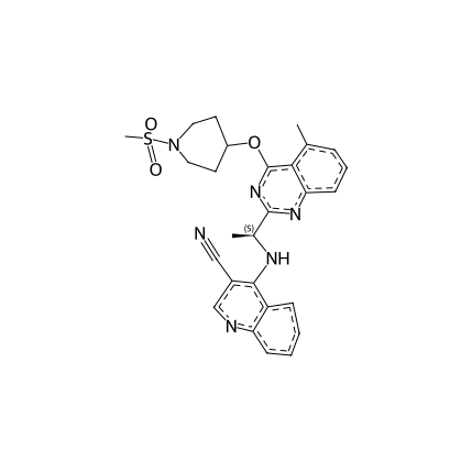 Cc1cccc2nc([C@H](C)Nc3c(C#N)cnc4ccccc34)nc(OC3CCN(S(C)(=O)=O)CC3)c12